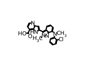 CN(c1ccccc1Cl)c1cccc2c(-c3cc4nccc(C(=O)O)c4[nH]3)n(C)nc12